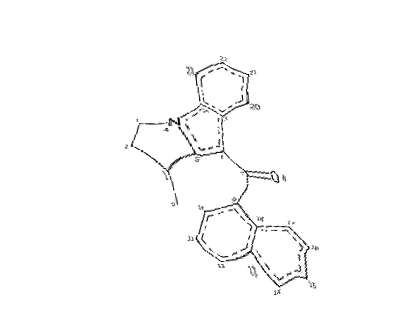 CC1CCn2c1c(C(=O)c1cccc3ccccc13)c1ccccc12